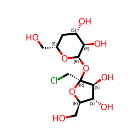 OC[C@@H]1C[C@H](O)[C@@H](O)[C@@H](O[C@]2(CCl)O[C@H](CO)[C@@H](O)[C@@H]2O)O1